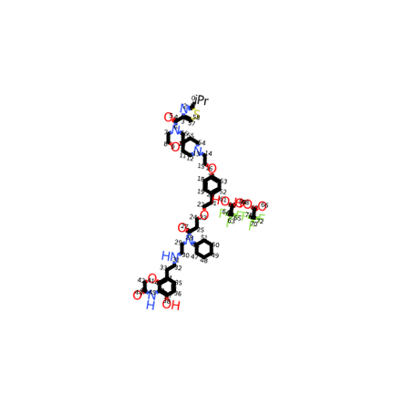 CC(C)c1nc(C(=O)N2CCOC3(CCN(CCOc4ccc(CCOCCC(=O)N(CCNCCc5ccc(O)c6c5OCC(=O)N6)C5CCCCC5)cc4)CC3)C2)cs1.O=C(O)C(F)(F)F.O=C(O)C(F)(F)F